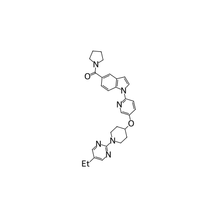 CCc1cnc(N2CCC(Oc3ccc(-n4ccc5cc(C(=O)N6CCCC6)ccc54)nc3)CC2)nc1